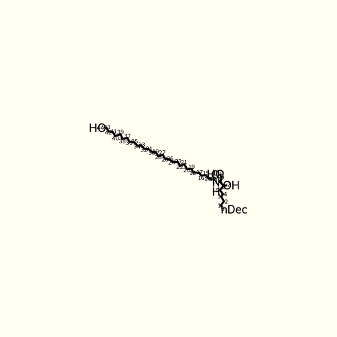 CCCCCCCCCCCCCCCC(O)C(CO)NC(=O)CCCCCCCCCCCCCCCCCCCCCCCCCCCCCCO